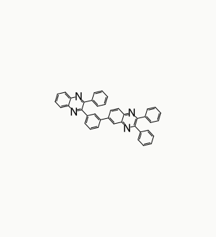 c1ccc(-c2nc3ccccc3nc2-c2cccc(-c3ccc4nc(-c5ccccc5)c(-c5ccccc5)nc4c3)c2)cc1